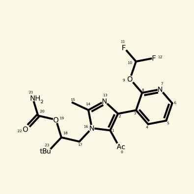 CC(=O)c1c(-c2cccnc2OC(F)F)nc(C)n1CC(OC(N)=O)C(C)(C)C